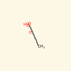 CCCCCCCCCCCCCC(=O)CCCCCS(=O)(=O)O